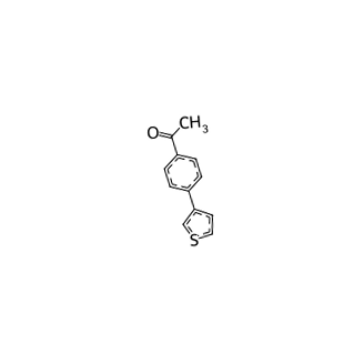 CC(=O)c1ccc(-c2ccsc2)cc1